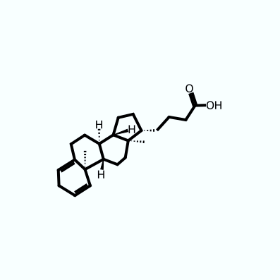 C[C@]12CC[C@H]3[C@@H](CCC4=CCC=C[C@@]43C)[C@@H]1CC[C@@H]2CCCC(=O)O